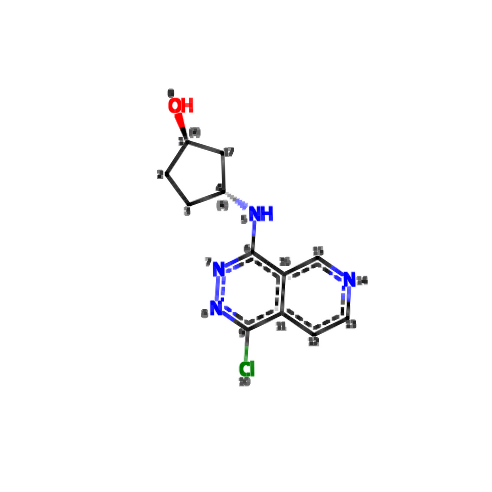 O[C@@H]1CC[C@@H](Nc2nnc(Cl)c3ccncc23)C1